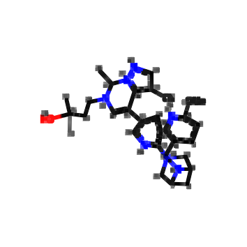 COc1ccc(CN2C3CC2CN(c2ccc(C4=CN(CCC(C)(C)O)C(C)n5ncc(C#N)c54)cn2)C3)cn1